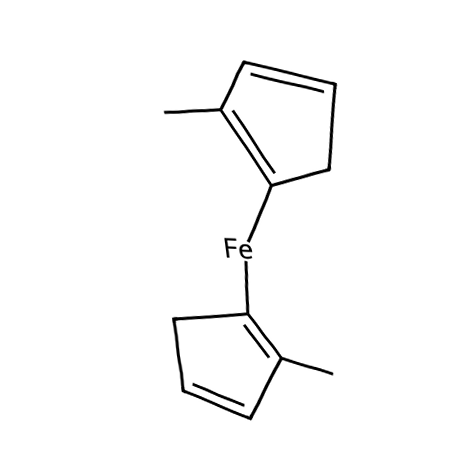 CC1=[C]([Fe][C]2=C(C)C=CC2)CC=C1